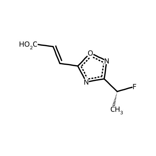 C[C@@H](F)c1noc(/C=C/C(=O)O)n1